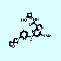 CNc1cc(Nc2cccc(N3CC4(CCO4)C3)n2)nc2c(C(=O)N[C@@H]3CC[C@@H]3O)cnn12